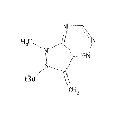 C=C1c2nncnc2N(C)N1C(C)(C)C